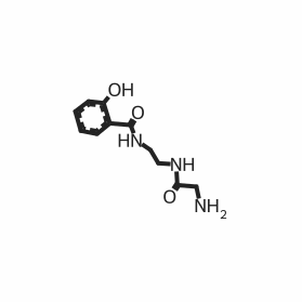 NCC(=O)NCCNC(=O)c1ccccc1O